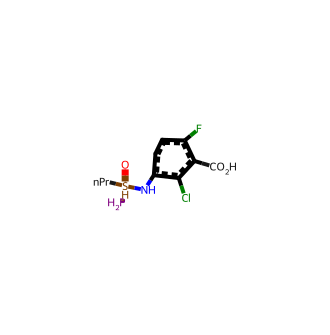 CCC[SH](=O)(P)Nc1ccc(F)c(C(=O)O)c1Cl